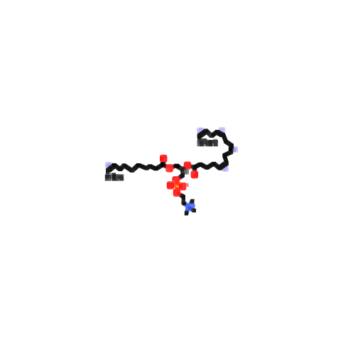 CCCCC/C=C\C/C=C\C/C=C\C/C=C\CCCC(=O)O[C@H](COC(=O)CCCCCCC/C=C\CCCCCC)COP(=O)([O-])OCC[N+](C)(C)C